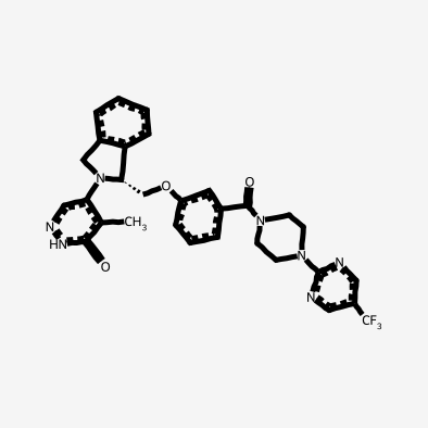 Cc1c(N2Cc3ccccc3[C@@H]2COc2cccc(C(=O)N3CCN(c4ncc(C(F)(F)F)cn4)CC3)c2)cn[nH]c1=O